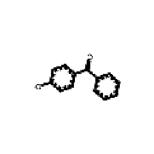 [O]c1ccc(C(=O)c2cc[c]cc2)cc1